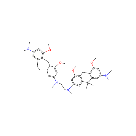 COC1=CC(N(C)CCN(C)c2cc(OC)c3c(c2)[Si](C)(C)c2cc(N(C)C)cc(OC)c2C3)=CC2CCc3cc(N(C)C)cc(OC)c3CC12